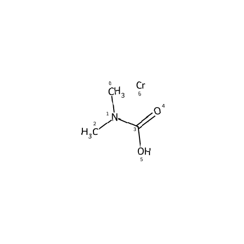 CN(C)C(=O)O.[Cr]